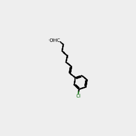 O=[C]CCCCC=Cc1cccc(Cl)c1